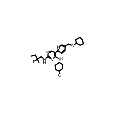 CCC(C)(F)CNc1ncc(-c2ccc(CNC3CCCCC3)cn2)c(N[C@H]2CC[C@H](O)CC2)n1